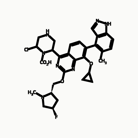 Cc1ccc2[nH]ncc2c1-c1ccc2c(C3CNCC(Cl)N3C(=O)O)nc(OC[C@@H]3C[C@@H](F)CN3C)nc2c1OC1CC1